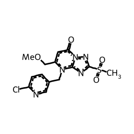 COCc1cc(=O)n2nc(S(C)(=O)=O)nc2n1Cc1ccc(Cl)nc1